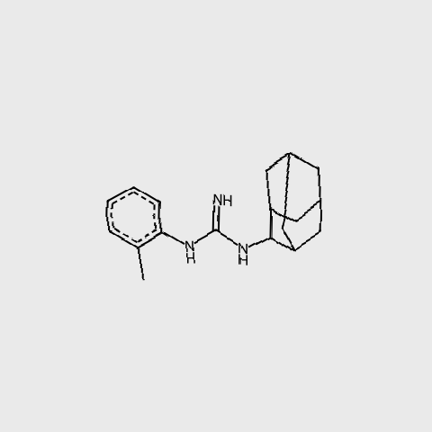 Cc1ccccc1NC(=N)NC1C2CC3CC(C2)CC1C3